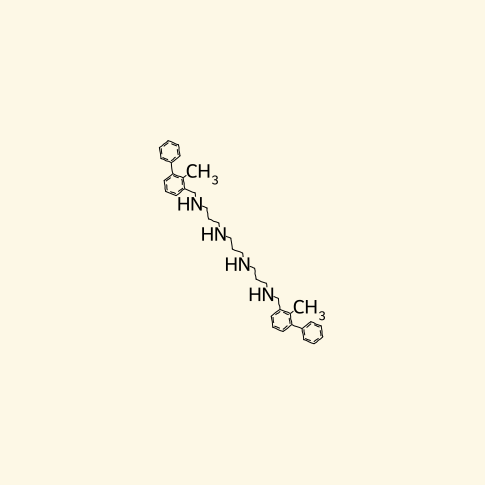 Cc1c(CNCCCNCCCNCCCNCc2cccc(-c3ccccc3)c2C)cccc1-c1ccccc1